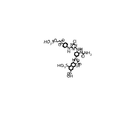 NC(=O)Nc1cc(/N=N/c2cc3c(S(=O)(=O)O)cc(SOO)cc3cc2[SH](=O)=O)ccc1Nc1nc(Cl)nc(Nc2ccc(S(=O)(=O)CCOS(=O)(=O)O)cc2)n1